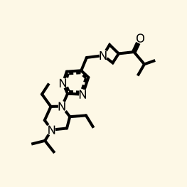 CCC1CN(C(C)C)CC(CC)N1c1ncc(CN2CC(C(=O)C(C)C)C2)cn1